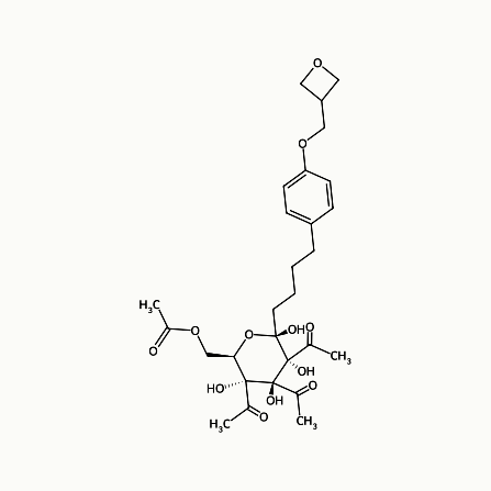 CC(=O)OC[C@H]1O[C@](O)(CCCCc2ccc(OCC3COC3)cc2)[C@@](O)(C(C)=O)[C@](O)(C(C)=O)[C@@]1(O)C(C)=O